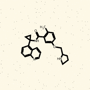 Cc1ccc(OCC2CCCN2)cc1C(=O)NC1(c2cccc3ncccc23)CC1